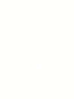 COc1ccc(OCC2CN(CCCO)C(=O)O2)cc1